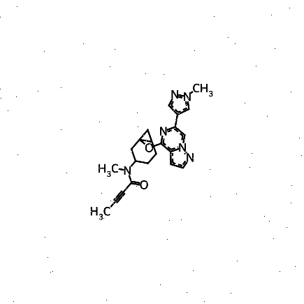 CC#CC(=O)N(C)C1CCC2CC2(Oc2nc(-c3cnn(C)c3)cn3nccc23)C1